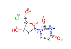 O=c1ccn([C@H]2C[C@H](O)[C@@H]([C@@H](O)Cl)O2)c(=O)[nH]1